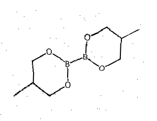 CC1COB(B2OCC(C)CO2)OC1